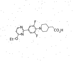 CCOc1ccnc(-c2cc(F)c(N3CCC(CC(=O)O)CC3)c(F)c2)n1